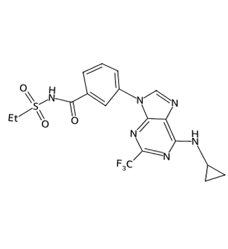 CCS(=O)(=O)NC(=O)c1cccc(-n2cnc3c(NC4CC4)nc(C(F)(F)F)nc32)c1